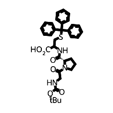 CC(C)(C)OC(=O)NCC(=O)N1CCC[C@H]1C(=O)NC(CSC(c1ccccc1)(c1ccccc1)c1ccccc1)C(=O)O